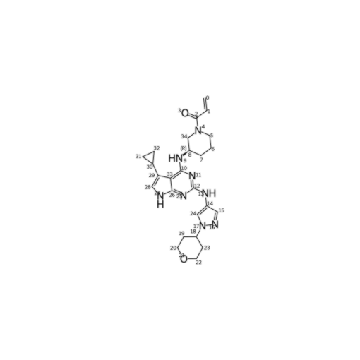 C=CC(=O)N1CCC[C@@H](Nc2nc(Nc3cnn(C4CCOCC4)c3)nc3[nH]cc(C4CC4)c23)C1